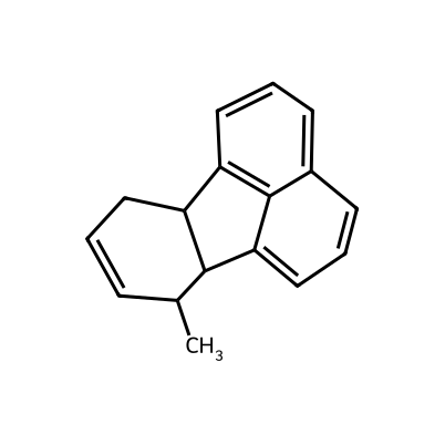 CC1C=CCC2c3cccc4cccc(c34)C12